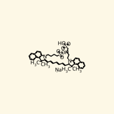 CC1(C)C(=CC=CC=CC=CC2N(CCCCS(=O)(=O)O)c3ccc4ccccc4c3C2(C)C)N(CCCCS(=O)(=O)O)c2ccc3ccccc3c21.[Na]